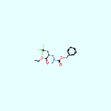 CCOC(=O)C(CN(C)C(=O)OCc1ccccc1)CC(F)(F)F